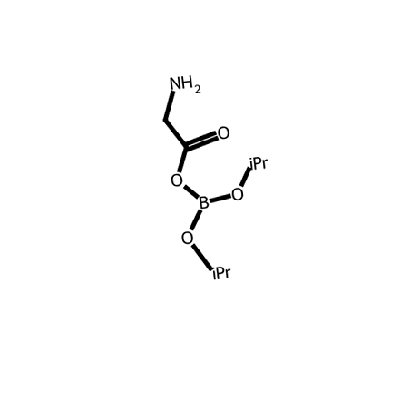 CC(C)OB(OC(=O)CN)OC(C)C